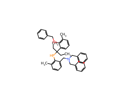 CCC(CC)(Pc1c(C)cccc1CN(Cc1ccccc1)Cc1ccccc1)c1cccc(C)c1OCc1ccccc1